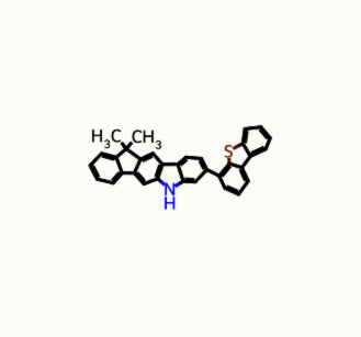 CC1(C)c2ccccc2-c2cc3[nH]c4cc(-c5cccc6c5sc5ccccc56)ccc4c3cc21